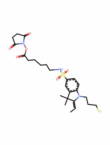 C/C=C1/N(CCCS)c2ccc(S(=O)(=O)NCCCCCC(=O)ON3C(=O)CCC3=O)cc2C1(C)C